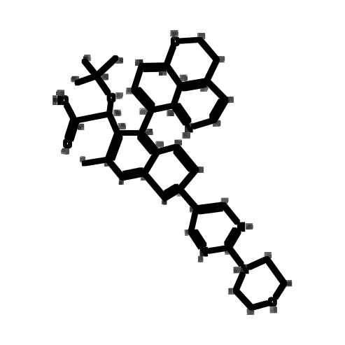 Cc1cc2cc(-c3cnc(N4CCOCC4)nc3)ccc2c(-c2ccc3c4c(ccnc24)CCO3)c1C(OC(C)(C)C)C(=O)O